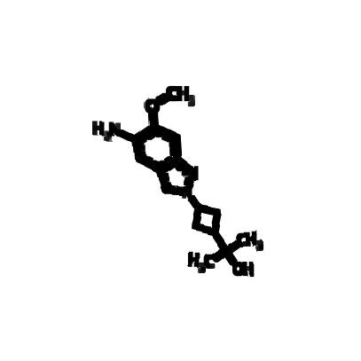 COc1cc2nn(C3CC(C(C)(C)O)C3)cc2cc1N